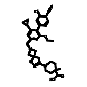 CCOc1cc(CN2CC3(CC(N4CCC(C)(C(=O)O)CC4)=NO3)C2)cc(C2CC2)c1-c1ccc(C#N)c(Cl)c1